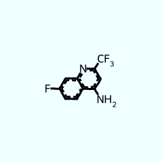 Nc1cc(C(F)(F)F)nc2cc(F)ccc12